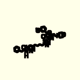 COc1cccc(C(OC(=O)CCN2CCOCC2)C(=O)Nc2nnc(CCCCc3ccc(NC(O)Cc4ccccc4)nn3)s2)c1